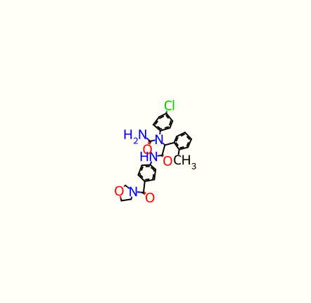 Cc1ccccc1C(C(=O)Nc1ccc(C(=O)N2CCOC2)cc1)N(C(N)=O)c1ccc(Cl)cc1